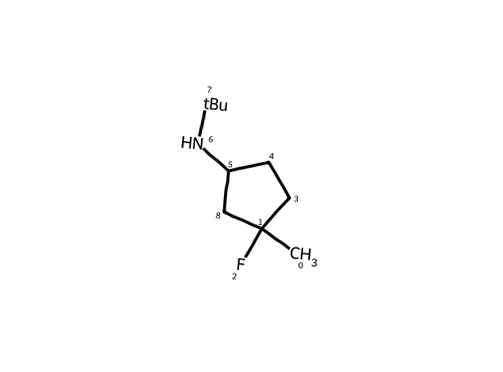 CC1(F)CCC(NC(C)(C)C)C1